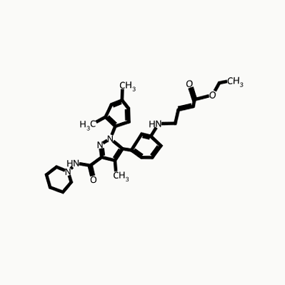 CCOC(=O)C=CCNc1cccc(-c2c(C)c(C(=O)NN3CCCCC3)nn2-c2ccc(C)cc2C)c1